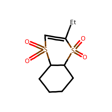 CCC1=CS(=O)(=O)C2CCCCC2S1(=O)=O